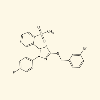 CS(=O)(=O)c1ccccc1-c1sc(SCc2cccc(Br)c2)nc1-c1ccc(F)cc1